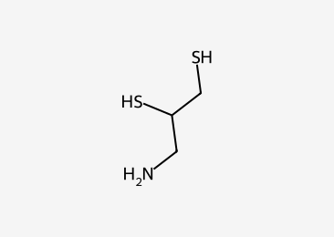 NCC(S)CS